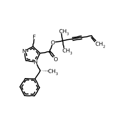 C=CC#CC(C)(C)OC(=O)c1c(F)ncn1[C@H](C)c1ccccc1